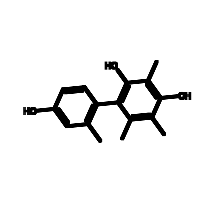 Cc1cc(O)ccc1-c1c(C)c(C)c(O)c(C)c1O